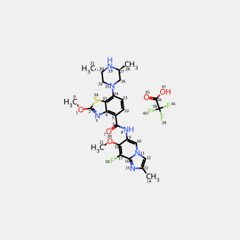 COc1nc2c(C(=O)Nc3cn4cc(C)nc4c(F)c3OC)ccc(N3C[C@H](C)N[C@@H](C)C3)c2s1.O=C(O)C(F)(F)F